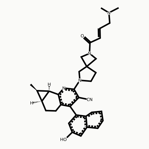 C[C@@H]1[C@@H]2CCc3c(nc(N4CCC5(CN(C(=O)/C=C/CN(C)C)C5)C4)c(C#N)c3-c3cc(O)cc4ccccc34)[C@H]12